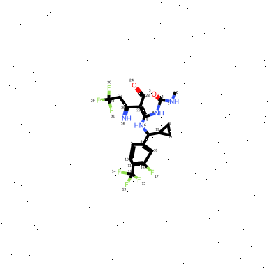 CNC(=O)N/C(NC(c1ccc(C(F)(F)F)c(F)c1)C1CC1)=C(\C=O)C(=N)CC(F)(F)F